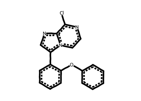 Clc1nccn2c(-c3ccccc3Oc3ccccc3)cnc12